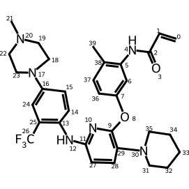 C=CC(=O)Nc1cc(Oc2nc(Nc3ccc(N4CCN(C)CC4)cc3C(F)(F)F)ccc2N2CCCCC2)ccc1C